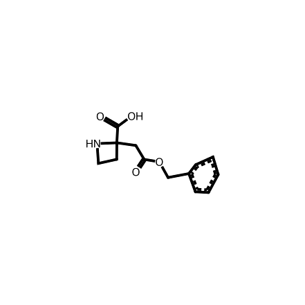 O=C(CC1(C(=O)O)CCN1)OCc1ccccc1